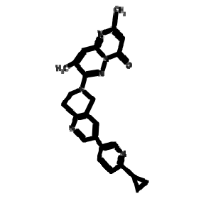 Cc1cc(=O)n2nc(N3CCc4ncc(-c5ccc(C6CC6)nc5)cc4C3)c(C)cc2n1